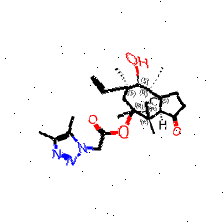 C=C[C@]1(C)CC(OC(=O)Cn2nnc(C)c2C)[C@]2(C)[C@H](C)CC[C@]3(CCC(=O)[C@H]32)[C@@H](C)[C@@H]1O